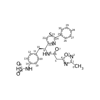 Cc1noc(CC(=O)N[C@@H](Cc2ccc(N[SH](=O)=O)cc2)c2csc(-c3ccccc3)n2)n1